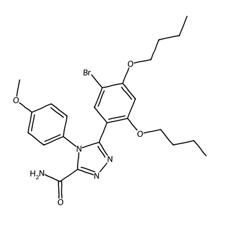 CCCCOc1cc(OCCCC)c(-c2nnc(C(N)=O)n2-c2ccc(OC)cc2)cc1Br